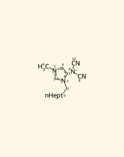 CCCCCCCCn1cc[n+](C)c1.N#C[N-]C#N